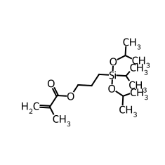 C=C(C)C(=O)OCCC[Si](OC(C)C)(OC(C)C)C(C)C